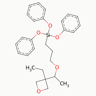 CCC1(C(C)OCCC[Si](Oc2ccccc2)(Oc2ccccc2)Oc2ccccc2)COC1